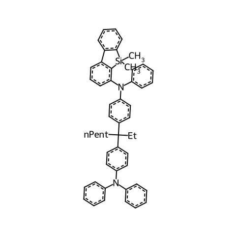 CCCCCC(CC)(c1ccc(N(c2ccccc2)c2ccccc2)cc1)c1ccc(N(c2ccccc2)c2cccc3c2[Si](C)(C)c2ccccc2-3)cc1